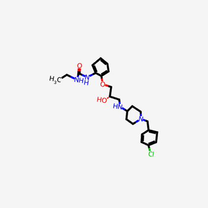 CCNC(=O)Nc1ccccc1OC[C@@H](O)CNC1CCN(Cc2ccc(Cl)cc2)CC1